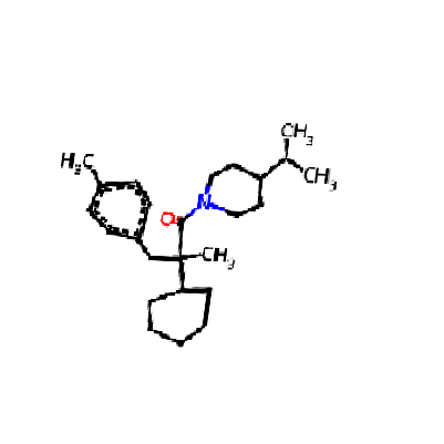 Cc1ccc(CC(C)(C(=O)N2CCC(C(C)C)CC2)C2CCCCC2)cc1